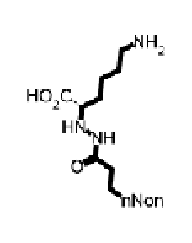 CCCCCCCCCCCC(=O)NN[C@@H](CCCCN)C(=O)O